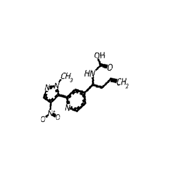 C=CCC(NC(=O)O)c1ccnc(-c2c([N+](=O)[O-])cnn2C)c1